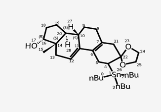 CCC[CH2][Sn]([CH2]CCC)([CH2]CCC)[CH]1CC2=C(CC[C@@H]3C2=CC[C@]2(C)[C@H](O)CC[C@@H]32)CC12OCCO2